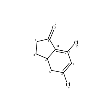 O=C1CCC2CC(Cl)=CC(Cl)=C12